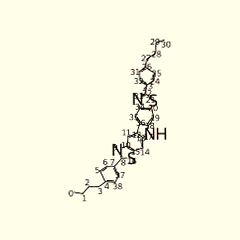 CCCCc1ccc(-c2nc3cc4c(cc3s2)[nH]c2cc3sc(-c5ccc(CCCC)cc5)nc3cc24)cc1